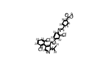 COC(=O)c1ccc(C=Nc2ccc(OCc3c(-c4c(Cl)cccc4Cl)cnn3C(C)C)cc2Cl)cc1